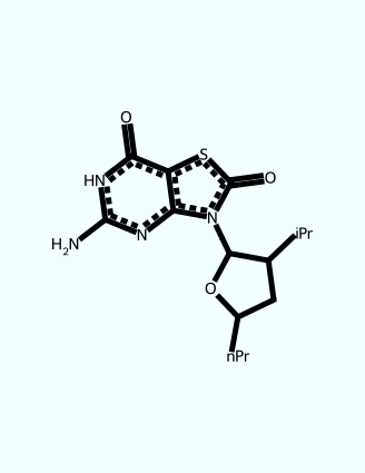 CCCC1CC(C(C)C)C(n2c(=O)sc3c(=O)[nH]c(N)nc32)O1